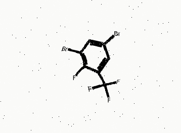 Fc1c(Br)cc(Br)cc1C(F)(F)F